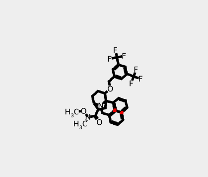 CON(C)C(=O)C1CC2(c3ccccc3)C(OCc3cc(C(F)(F)F)cc(C(F)(F)F)c3)CCC1N2Cc1ccccc1